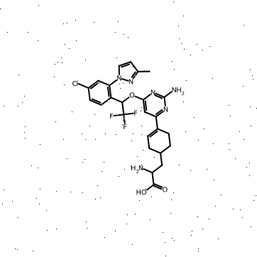 Cc1ccn(-c2cc(Cl)ccc2C(Oc2cc(C3=CCC(CC(N)C(=O)O)CC3)nc(N)n2)C(F)(F)F)n1